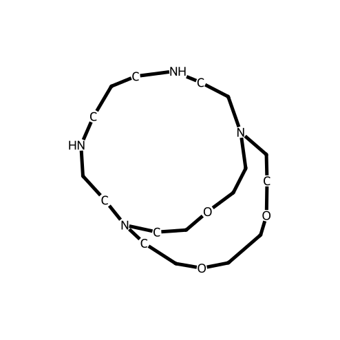 C1CNCCN2CCOCCOCCN(CCNC1)CCOCC2